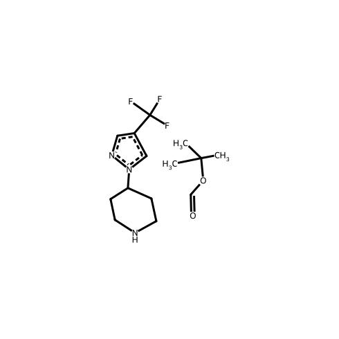 CC(C)(C)OC=O.FC(F)(F)c1cnn(C2CCNCC2)c1